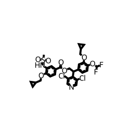 CS(=O)(=O)Nc1cc(C(=O)OCC(c2ccc(OC(F)F)c(OCC3CC3)c2)c2c(Cl)cncc2Cl)ccc1OCC1CC1